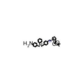 CC(C)(C)OC(=O)N1CCC[C@H]1/C=C/c1ccc(CN(Cc2ccc(N)cc2)c2ccccc2)cc1